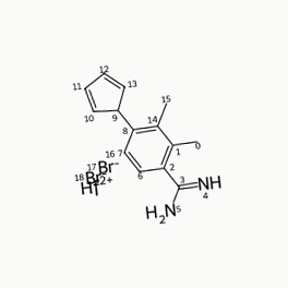 Cc1c(C(=N)N)ccc(C2C=CC=C2)c1C.[Br-].[Br-].[Hf+2]